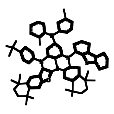 Cc1cccc(N(c2cc3c4c(c2)N(c2cccc5c2sc2ccccc25)c2cc5c(cc2B4c2oc4cc6c(cc4c2N3c2ccc(C(C)(C)C)cc2)C(C)(C)CCC6(C)C)C(C)(C)CCC5(C)C)c2ccccc2C)c1